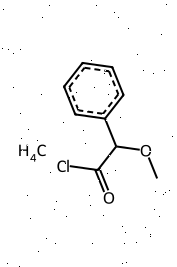 C.COC(C(=O)Cl)c1ccccc1